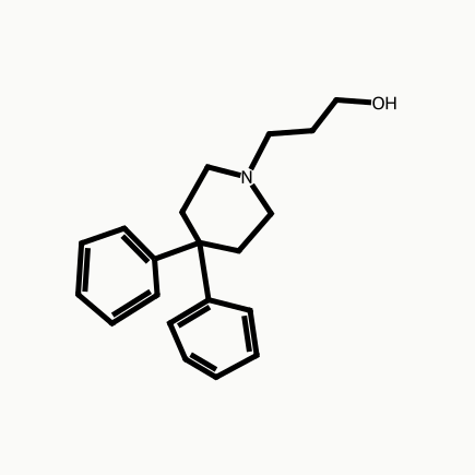 OCCCN1CCC(c2ccccc2)(c2ccccc2)CC1